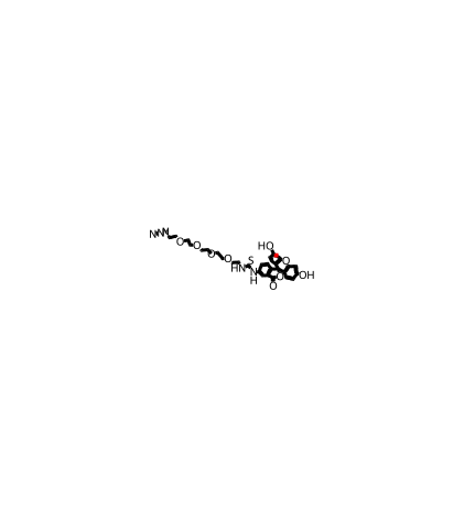 [N-]=[N+]=NCCOCCOCCOCCOCCNC(=S)Nc1ccc2c(c1)C(=O)OC21c2ccc(O)cc2Oc2cc(O)ccc21